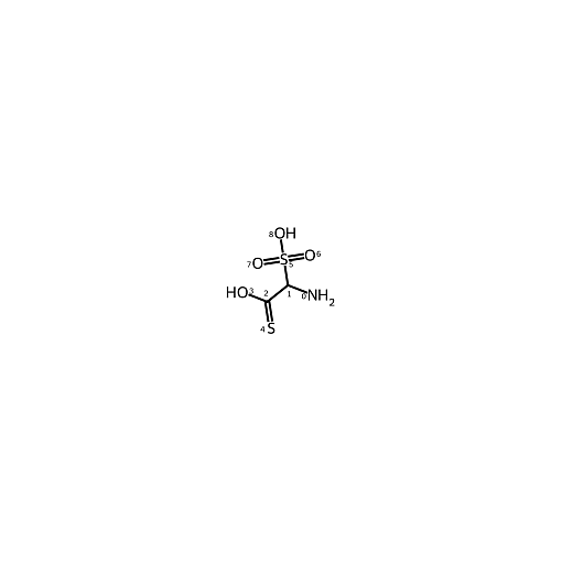 NC(C(O)=S)S(=O)(=O)O